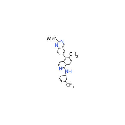 CNc1ncc2cc(-c3c(C)ccc4c(Nc5cccc(C(F)(F)F)c5)nccc34)ccc2n1